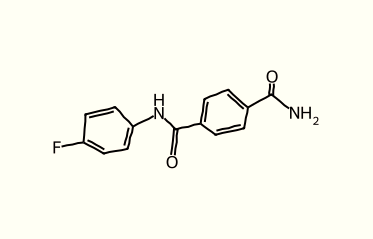 NC(=O)c1ccc(C(=O)Nc2ccc(F)cc2)cc1